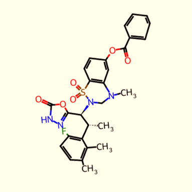 Cc1ccc(F)c([C@@H](C)[C@@H](c2n[nH]c(=O)o2)N2CN(C)c3cc(OC(=O)c4ccccc4)ccc3S2(=O)=O)c1C